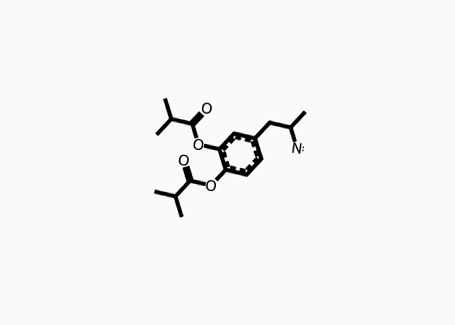 CC([N])Cc1ccc(OC(=O)C(C)C)c(OC(=O)C(C)C)c1